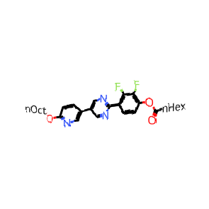 CCCCCCCCOc1ccc(-c2cnc(-c3ccc(OC(=O)CCCCCC)c(F)c3F)nc2)cn1